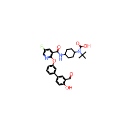 CC(C)(C)N(C(=O)O)C1CCC(NC(=O)c2cc(F)cnc2Oc2cccc(-c3ccc(O)c(C=O)c3)c2)CC1